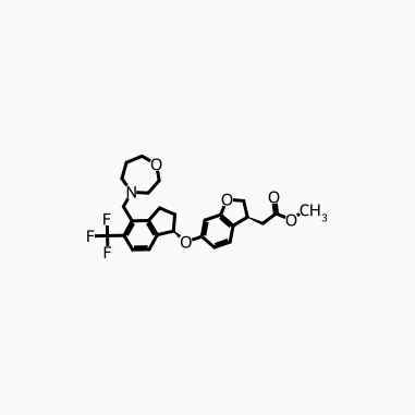 COC(=O)C[C@@H]1COc2cc(O[C@@H]3CCc4c3ccc(C(F)(F)F)c4CN3CCCOCC3)ccc21